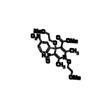 COCCON1C(C)=C([PH2]=O)C(OCCOC)(c2cccc([N+](=O)[O-])c2)C(C(=O)OC)=C1C